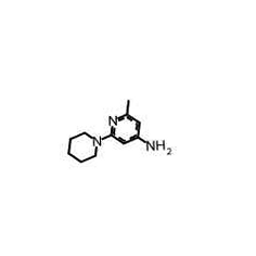 Cc1cc(N)cc(N2CCCCC2)n1